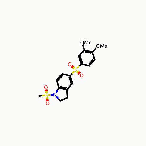 COc1ccc(S(=O)(=O)c2ccc3c(c2)CCN3S(C)(=O)=O)cc1OC